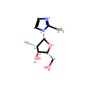 O=[N+]([O-])c1nccn1[C@@H]1O[C@H](CO)[C@@H](O)[C@@H]1F